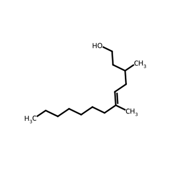 CCCCCCCC(C)=CCC(C)CCO